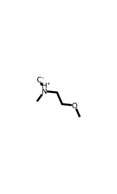 [CH2-][NH+](C)CCOC